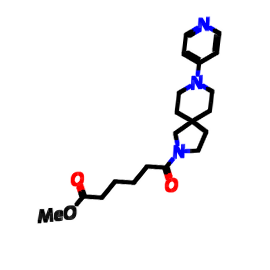 COC(=O)CCCCC(=O)N1CCC2(CCN(c3ccncc3)CC2)C1